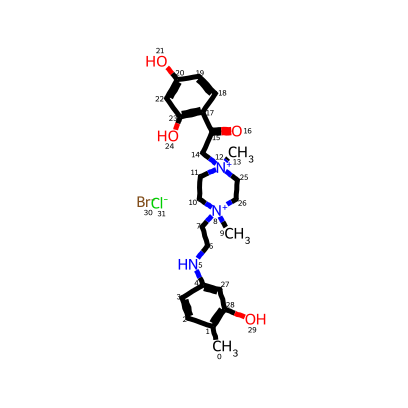 Cc1ccc(NCC[N+]2(C)CC[N+](C)(CC(=O)c3ccc(O)cc3O)CC2)cc1O.[Br-].[Cl-]